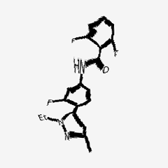 CCn1nc(C)cc1-c1ccc(NC(=O)c2c(F)cccc2F)cc1F